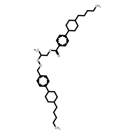 CCCCCC1CCC(c2ccc(COOC(C)COC(=O)c3ccc(C4CCC(CCCCC)CC4)cc3)cc2)CC1